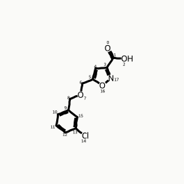 O=C(O)c1cc(COCc2cccc(Cl)c2)on1